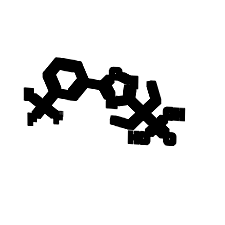 CCC(CC)(c1noc(-c2cccc(C(F)(F)F)c2)n1)P(=O)(O)O